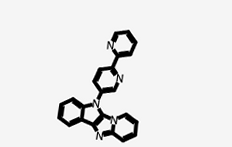 c1ccc(-c2ccc(-n3c4ccccc4c4nc5ccccn5c43)cn2)nc1